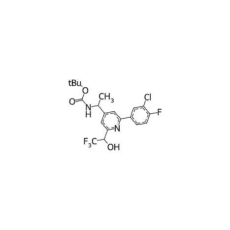 CC(NC(=O)OC(C)(C)C)c1cc(-c2ccc(F)c(Cl)c2)nc(C(O)C(F)(F)F)c1